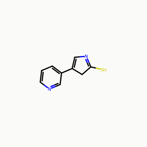 SC1=NC=C(c2cccnc2)C1